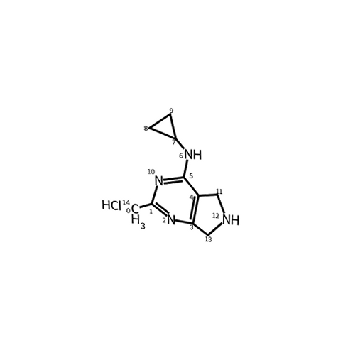 Cc1nc2c(c(NC3CC3)n1)CNC2.Cl